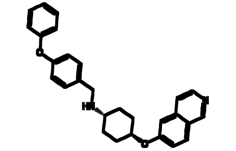 c1ccc(Oc2ccc(CN[C@H]3CC[C@H](Oc4ccc5cnccc5c4)CC3)cc2)cc1